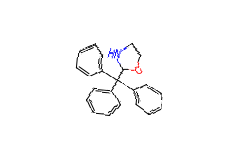 c1ccc(C(c2ccccc2)(c2ccccc2)C2NCCO2)cc1